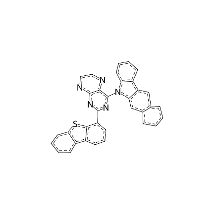 c1ccc2cc3c(cc2c1)c1ccccc1n3-c1nc(-c2cccc3c2sc2ccccc23)nc2nccnc12